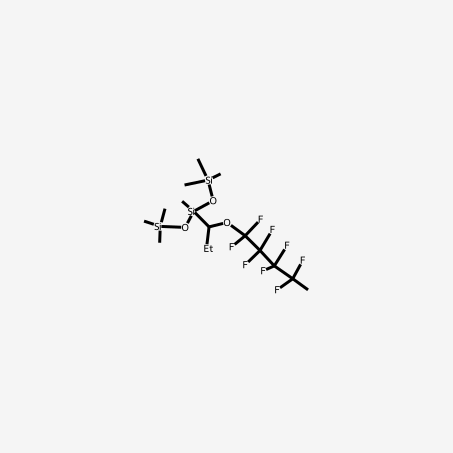 CCC(OC(F)(F)C(F)(F)C(F)(F)C(C)(F)F)[Si](C)(O[Si](C)(C)C)O[Si](C)(C)C